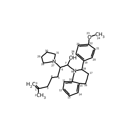 C=C(C)CCCC(C(O)N1c2ccccc2CCC1c1ccc(OC)cc1)N1CCCC1